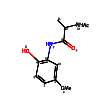 COc1ccc(O)c(NC(=O)C(C)NC(C)=O)c1